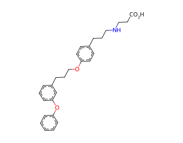 O=C(O)CCNCCCc1ccc(OCCCc2cccc(Oc3ccccc3)c2)cc1